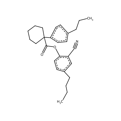 CCCCc1ccc(OC(=O)C2(c3ccc(CCC)cc3)CCCCC2)c(C#N)c1